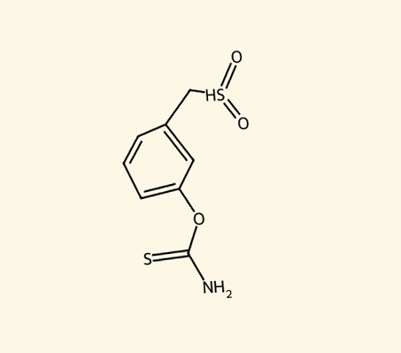 NC(=S)Oc1cccc(C[SH](=O)=O)c1